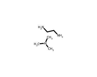 NCCN.[CH3][Al]([CH3])[CH3]